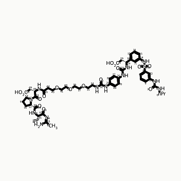 CCCNC(=O)Nc1cccc(S(=O)(=O)Nc2cccc([C@@H](CC(=O)O)NC(=O)Nc3ccc(NC(=O)NCCOCCOCCOCCC(=O)N[C@@H](CC(=O)O)C(=O)N4CCC[C@H]4C(=O)N[C@H](C(=O)/N=C(/C)N)C(C)C)cc3)c2)c1